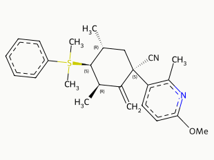 C=C1[C@@H](C)[C@@H](S(C)(C)c2ccccc2)[C@H](C)C[C@@]1(C#N)c1ccc(OC)nc1C